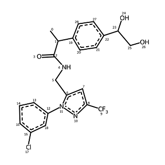 CC(C(=O)NCc1cc(C(F)(F)F)nn1-c1cccc(Cl)c1)c1ccc(C(O)CO)cc1